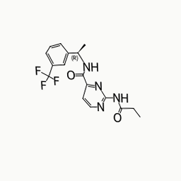 CCC(=O)Nc1nccc(C(=O)N[C@H](C)c2cccc(C(F)(F)F)c2)n1